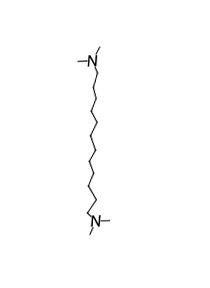 CN(C)CCCCCCCCCCCCN(C)C